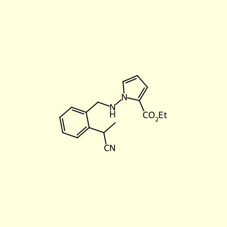 CCOC(=O)c1cccn1NCc1ccccc1C(C)C#N